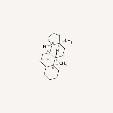 C[C@@]12CCC[C@@H]1[C@@H]1CCC3CCCC[C@]3(C)[C@H]1CC2